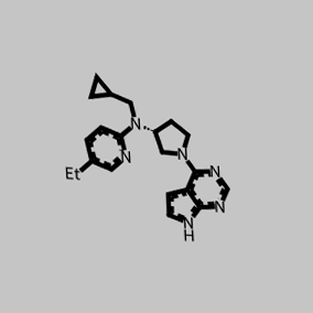 CCc1ccc(N(CC2CC2)[C@@H]2CCN(c3ncnc4[nH]ccc34)C2)nc1